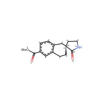 COC(=O)c1ccc2c(c1)CC[C@]1(CCNC1=O)C2